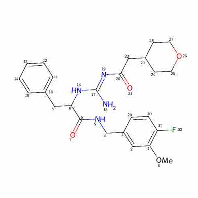 COc1cc(CNC(=O)C(Cc2ccccc2)NC(N)=NC(=O)CC2CCOCC2)ccc1F